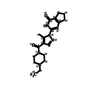 Cc1c(C(=O)N2CCN(CC(F)(F)F)CC2)cnn1-c1nc2c(c(=O)[nH]1)CCC2